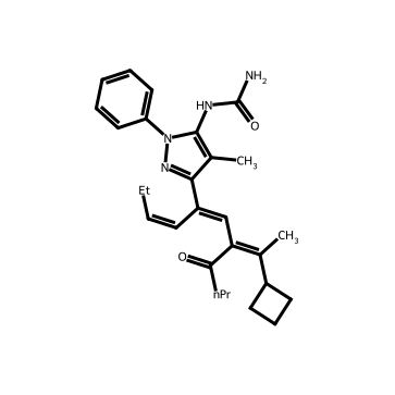 CC\C=C/C(=C\C(C(=O)CCC)=C(/C)C1CCC1)c1nn(-c2ccccc2)c(NC(N)=O)c1C